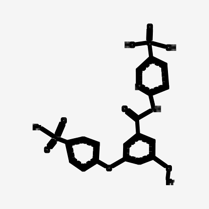 CC(C)Oc1cc(Oc2ccc(S(=O)(=O)C(C)C)cc2)cc(C(=O)Nc2ccc(P(=O)(O)O)cn2)c1